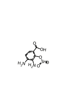 Nc1ccc(C(=O)O)c(O[SH](=O)=O)c1N